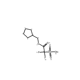 O=C(OCC1CCCC1)C(F)(F)S(=O)(=O)O